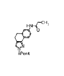 C=CC(=O)Nc1ccc2c(c1)CCc1cn(CCCCC)nc1-2